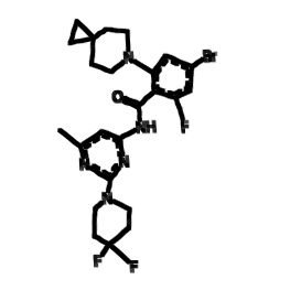 Cc1cc(NC(=O)c2c(F)cc(Br)cc2N2CCC3(CC2)CC3)nc(N2CCC(F)(F)CC2)n1